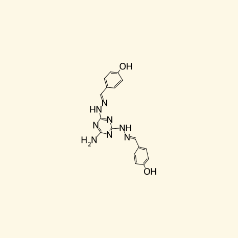 Nc1nc(NN=Cc2ccc(O)cc2)nc(NN=Cc2ccc(O)cc2)n1